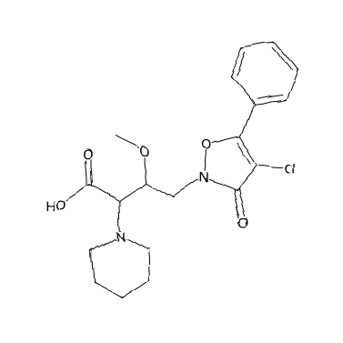 COC(Cn1oc(-c2ccccc2)c(Cl)c1=O)C(C(=O)O)N1CCCCC1